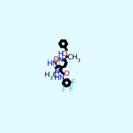 CC(OCc1ccccc1)[C@H]1C=Cc2c(cn(C)c2C(=O)Nc2cc(F)c(F)c(F)c2)S(=N)(=O)N1